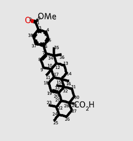 COC(=O)c1ccc(C2=CCC3(C)C(CCC4(C)C3CC=C3C5C(C)C(C)CCC5(C(=O)O)CCC34C)C2(C)C)cc1